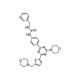 O=C(NCc1cccnc1)Nc1ccc(-c2nc(-c3ccc(CN4CCOCC4)s3)nc(N3CCOCC3)n2)cc1